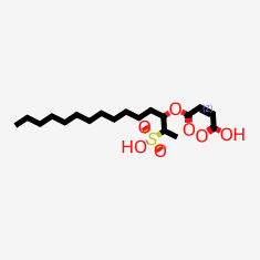 CCCCCCCCCCCCC(OC(=O)/C=C\C(=O)O)C(C)S(=O)(=O)O